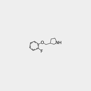 Fc1ccccc1OCC1CCNC1